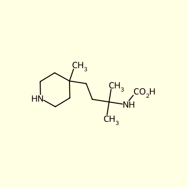 CC1(CCC(C)(C)NC(=O)O)CCNCC1